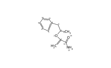 C=C(OC(C)Cc1ccccc1)C(N)=O